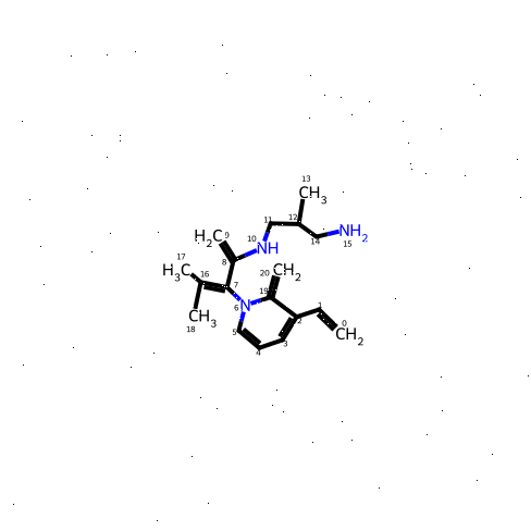 C=CC1=CC=CN(C(C(=C)NCC(C)CN)=C(C)C)C1=C